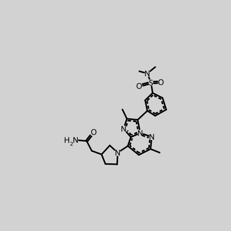 Cc1cc(N2CCC(CC(N)=O)C2)c2nc(C)c(-c3cccc(S(=O)(=O)N(C)C)c3)n2n1